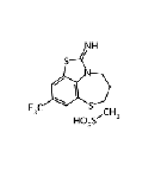 CS(=O)(=O)O.N=c1sc2cc(C(F)(F)F)cc3c2n1CCCS3